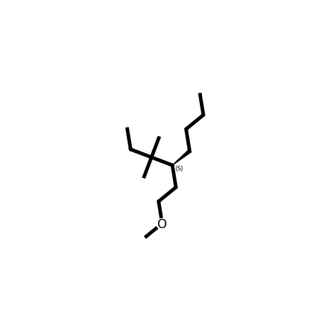 CCCC[C@@H](CCOC)C(C)(C)CC